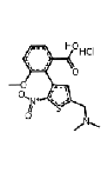 COc1cccc(C(=O)O)c1-c1cc(CN(C)C)sc1[N+](=O)[O-].Cl